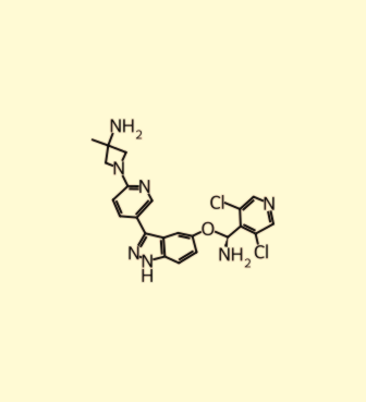 CC1(N)CN(c2ccc(-c3n[nH]c4ccc(O[C@H](N)c5c(Cl)cncc5Cl)cc34)cn2)C1